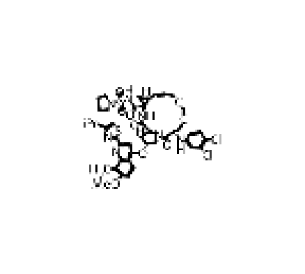 COc1ccc2c(O[C@@H]3C[C@H]4C(=O)N[C@]5(C(=O)NS(=O)(=O)N6CCCC6)C[C@H]5/C=C\CCCCC[C@H](Nc5ccc(Cl)c(Cl)c5)C(=O)N4C3)cc(-c3nc(C(C)C)cs3)nc2c1C